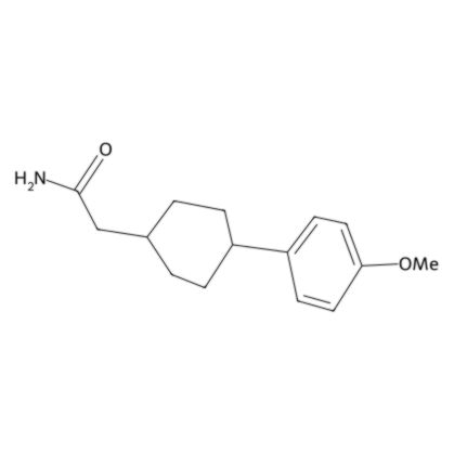 COc1ccc(C2CCC(CC(N)=O)CC2)cc1